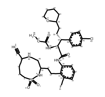 C#CC1CCCS(=O)(=O)NC(CCc2c(F)cccc2NC(=O)[C@@H](NC(=O)OC)[C@H](CCC2CCCCO2)c2ccc(Cl)cc2)CN1